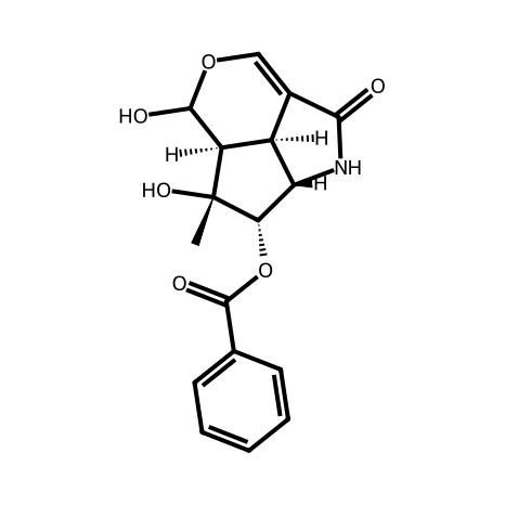 C[C@]1(O)[C@@H](OC(=O)c2ccccc2)[C@H]2NC(=O)C3=COC(O)[C@H]1[C@@H]32